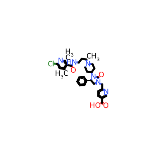 Cc1cc(Cl)nc(C)c1C(=O)NCCC(C)N1CCC(N2C(=O)N(Cc3ccc(C(=O)O)cn3)C[C@H]2c2ccccc2)CC1